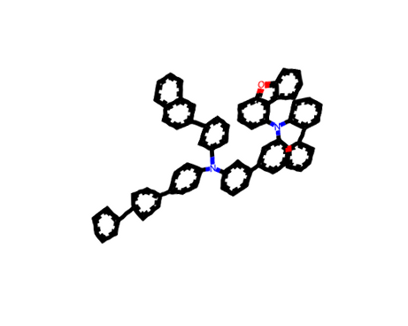 c1ccc(-c2ccc(-c3ccc(N(c4cccc(-c5cccc(N(c6ccccc6-c6ccccc6)c6cccc7oc8ccccc8c67)c5)c4)c4cccc(-c5ccc6ccccc6c5)c4)cc3)cc2)cc1